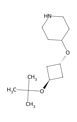 CC(C)(C)O[C@H]1C[C@H](OC2CCNCC2)C1